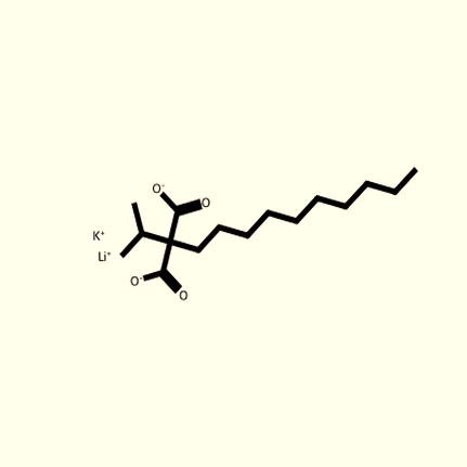 CCCCCCCCCCC(C(=O)[O-])(C(=O)[O-])C(C)C.[K+].[Li+]